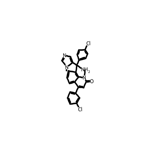 Cn1cncc1C(N)(c1ccc(Cl)cc1)c1cccc2c(-c3cccc(Cl)c3)cc(=O)n(C)c12